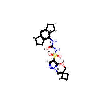 O=C(Nc1c2c(cc3c1CCC3)CCC2)NS(=O)(=O)c1cnn2c1OCC1(CCC1)C2